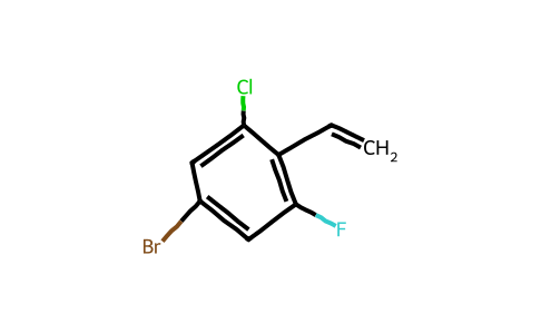 C=Cc1c(F)cc(Br)cc1Cl